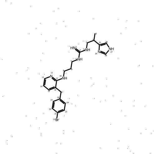 CC(CNC(=N)NCCCNc1ncccc1Cc1ccc(Br)cc1)c1c[nH]cn1